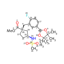 COC(=O)[C@@]1(Cc2cc(B3OC(C)(C)C(C)(C)O3)ccc2F)CC[C@H](NS(C)(=O)=O)C1